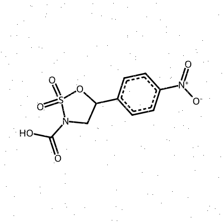 O=C(O)N1CC(c2ccc([N+](=O)[O-])cc2)OS1(=O)=O